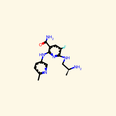 Cc1ccc(Nc2nc(NC[C@H](C)N)c(F)cc2C(N)=O)cn1